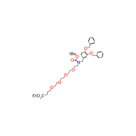 CCOC(=O)CCCOCCOCCOCCOCCN(Cc1ccc(OCc2ccccc2)c(OCc2ccccc2)c1)C(=O)OC(C)(C)C